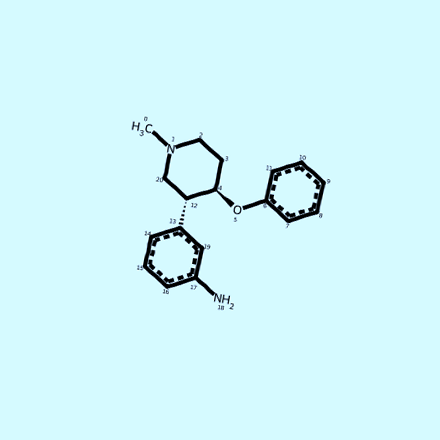 CN1CC[C@@H](Oc2ccccc2)[C@H](c2cccc(N)c2)C1